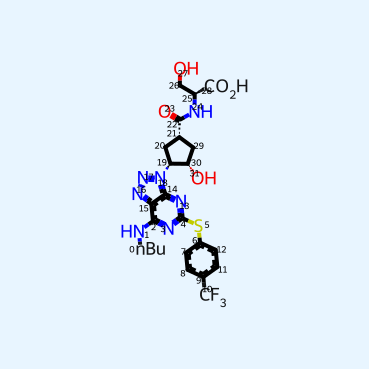 CCCCNc1nc(Sc2ccc(C(F)(F)F)cc2)nc2c1nnn2[C@@H]1C[C@H](C(=O)N[C@@H](CO)C(=O)O)C[C@@H]1O